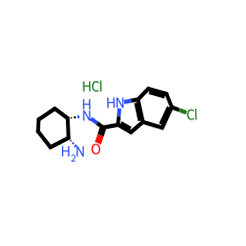 Cl.N[C@@H]1CCCC[C@@H]1NC(=O)c1cc2cc(Cl)ccc2[nH]1